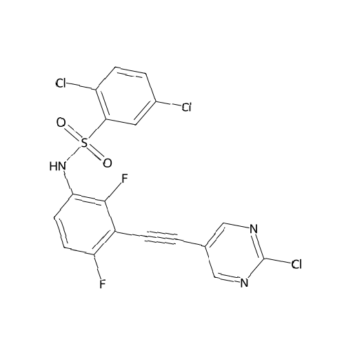 O=S(=O)(Nc1ccc(F)c(C#Cc2cnc(Cl)nc2)c1F)c1cc(Cl)ccc1Cl